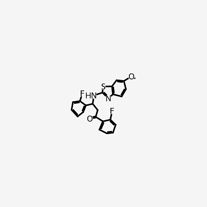 COc1ccc2nc(NC(CC(=O)c3ccccc3F)c3ccccc3F)sc2c1